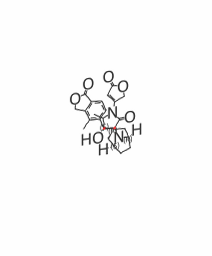 Cc1c([C@H](O)CN2[C@@H]3CC[C@H]2C[C@]2(CC(C)N(C4=CC(=O)OC4)C2=O)C3)ccc2c1COC2=O